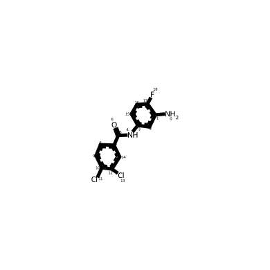 Nc1cc(NC(=O)c2ccc(Cl)c(Cl)c2)ccc1F